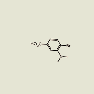 CN(C)c1cc(C(=O)O)ccc1Br